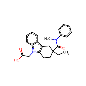 CCC1(C(=O)N(C)c2ccccc2)CCc2c(c3ccccc3n2CC(=O)O)C1